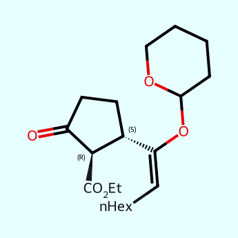 CCCCCCC=C(OC1CCCCO1)[C@H]1CCC(=O)[C@@H]1C(=O)OCC